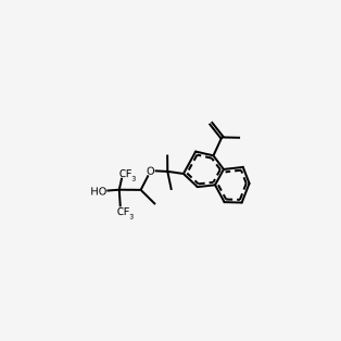 C=C(C)c1cc(C(C)(C)OC(C)C(O)(C(F)(F)F)C(F)(F)F)cc2ccccc12